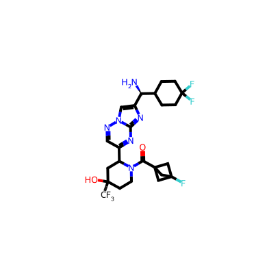 N[C@H](c1cn2ncc(C3CC(O)(C(F)(F)F)CCN3C(=O)C34CC(F)(C3)C4)nc2n1)C1CCC(F)(F)CC1